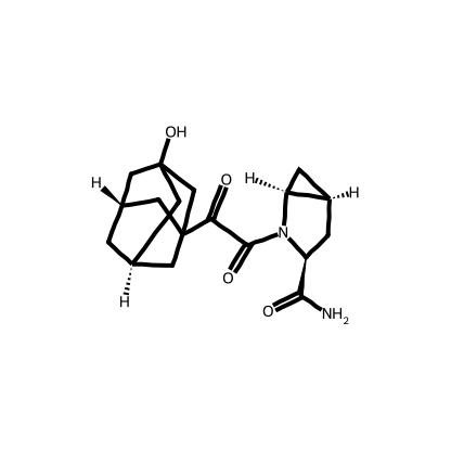 NC(=O)[C@@H]1C[C@@H]2C[C@@H]2N1C(=O)C(=O)C12C[C@@H]3C[C@@H](CC(O)(C3)C1)C2